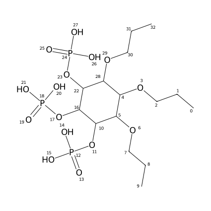 CCCOC1C(OCCC)C(OP(=O)(O)O)C(OP(=O)(O)O)C(OP(=O)(O)O)C1OCCC